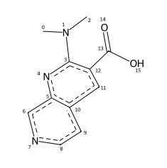 CN(C)c1nc2cnccc2cc1C(=O)O